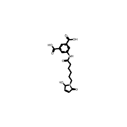 O=C(CCCCCN1C(=O)C=CC1O)Nc1cc(C(=O)O)cc(C(=O)O)c1